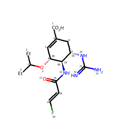 CCC(CC)O[C@@H]1C=C(C(=O)O)C[C@H](NC(=N)N)[C@H]1NC(=O)C=CF